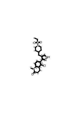 CCS(=O)(=O)N1CCC(Cc2c[nH]nc2-c2ccc3c(c2Cl)CCC(=O)N3C)CC1